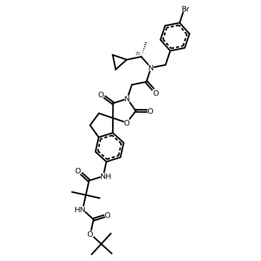 C[C@@H](C1CC1)N(Cc1ccc(Br)cc1)C(=O)CN1C(=O)OC2(CCc3cc(NC(=O)C(C)(C)NC(=O)OC(C)(C)C)ccc32)C1=O